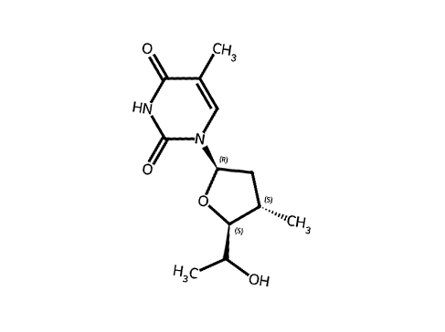 Cc1cn([C@H]2C[C@H](C)[C@@H](C(C)O)O2)c(=O)[nH]c1=O